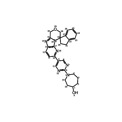 OC1CCCN(c2ncc(-c3ccc4nc5n(c4n3)C3(CCc4ccccc43)COC5)cn2)CC1